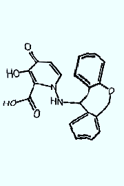 O=C(O)c1c(O)c(=O)ccn1NC1c2ccccc2COc2ccccc21